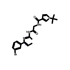 C/C=C(\N=C(/C)NC(=O)CNC(=O)c1ccn(C(C)(C)C)c1)c1cccc(Br)c1